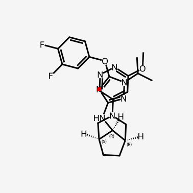 COc1cc(N2C[C@H]3CC[C@@H](C2)[C@H]3Nc2nc(Oc3ccc(F)c(F)c3)n(C(C)C)n2)cnn1